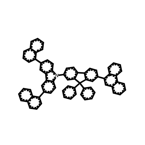 c1ccc(C2(c3ccccc3)c3cc(-c4cc5ccccc5c5ccccc45)ccc3-c3ccc(-n4c5ccc(-c6cccc7ccccc67)cc5c5cc(-c6cccc7ccccc67)ccc54)cc32)cc1